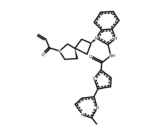 C=CC(=O)N1CC[C@]2(C1)C[C@H](n1c(NC(=O)c3ccc(-c4ccnc(C)n4)s3)nc3ccccc31)C2